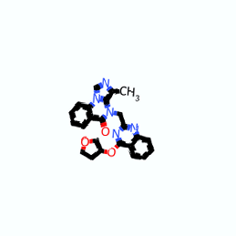 Cc1ncn2c3ccccc3c(=O)n(Cc3nc(OC4CCOC4)c4ccccc4n3)c12